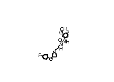 COc1cccc(NC(=O)NCCCN2CCC(Oc3ccc(F)cc3)C2)c1